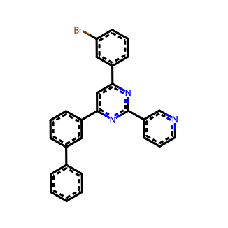 Brc1cccc(-c2cc(-c3cccc(-c4ccccc4)c3)nc(-c3cccnc3)n2)c1